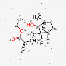 C=C(C)C(=O)OCC.CC1(C)C(O)[C@@]2(C)CC[C@@H]1C2